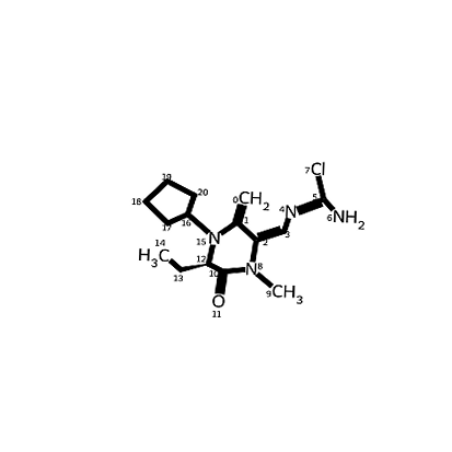 C=C1/C(=C\N=C(/N)Cl)N(C)C(=O)[C@@H](CC)N1C1CCCC1